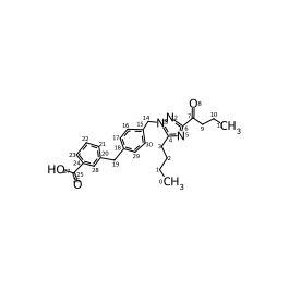 CCCCc1nc(C(=O)CCC)nn1Cc1ccc(Cc2cccc(C(=O)O)c2)cc1